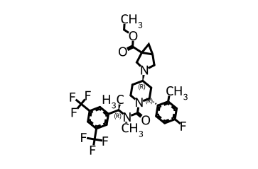 CCOC(=O)C12CC1CN([C@@H]1CCN(C(=O)N(C)[C@H](C)c3cc(C(F)(F)F)cc(C(F)(F)F)c3)[C@@H](c3ccc(F)cc3C)C1)C2